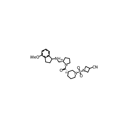 COc1cccc2c1CCC2NC[C@H]1CCCN1C(=O)[C@H]1CCCN(S(=O)(=O)N2CC(C#N)C2)C1